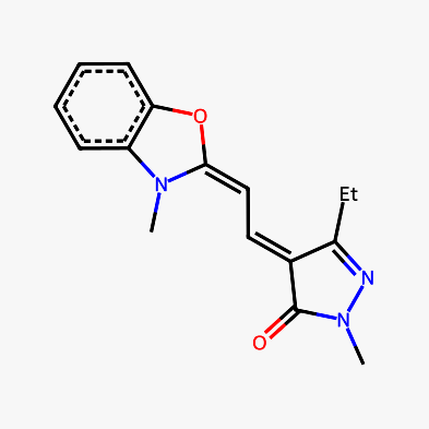 CCC1=NN(C)C(=O)/C1=C/C=C1/Oc2ccccc2N1C